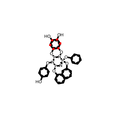 Oc1ccc(ON2P(Oc3ccccc3)N=P(Oc3ccccc3)(Oc3ccccc3)N(Oc3ccc(O)cc3)P2Oc2ccc(O)cc2)cc1